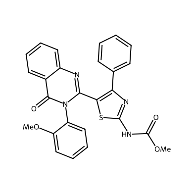 COC(=O)Nc1nc(-c2ccccc2)c(-c2nc3ccccc3c(=O)n2-c2ccccc2OC)s1